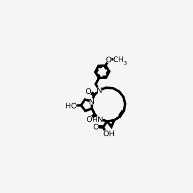 COc1ccc(CN2CCCCCC=CC3CC3(C(=O)O)NC(=O)C3CC(O)CN3C2=O)cc1